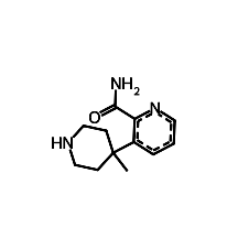 CC1(c2cccnc2C(N)=O)CCNCC1